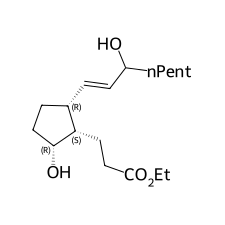 CCCCCC(O)C=C[C@H]1CC[C@@H](O)[C@H]1CCC(=O)OCC